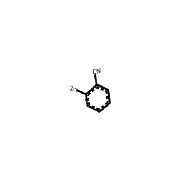 N#Cc1cccc[c]1[Zn]